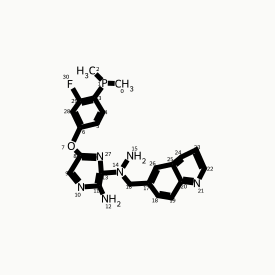 CP(C)c1ccc(Oc2cnc(N)c(N(N)Cc3ccc4ncccc4c3)n2)cc1F